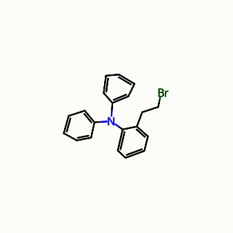 BrCCc1ccccc1N(c1ccccc1)c1ccccc1